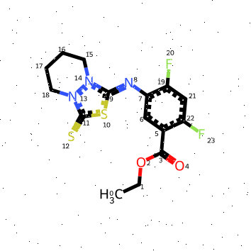 CCOC(=O)c1cc(N=c2sc(=S)n3n2CCCC3)c(F)cc1F